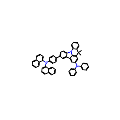 CC1(C)c2ccccc2-n2c3ccc(-c4ccc(N(c5cccc6ccccc56)c5cccc6ccccc56)cc4)cc3c3cc(N(c4ccccc4)c4ccccc4)cc1c32